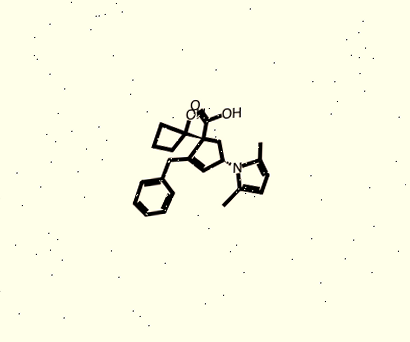 Cc1ccc(C)n1[C@@H]1C=C(Cc2ccccc2)[C@@](C(=O)O)(C2(O)CCC2)C1